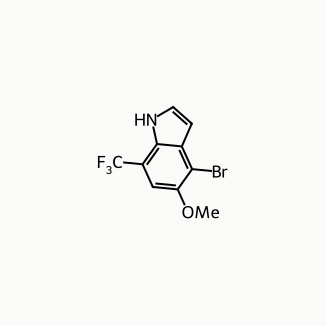 COc1cc(C(F)(F)F)c2[nH]ccc2c1Br